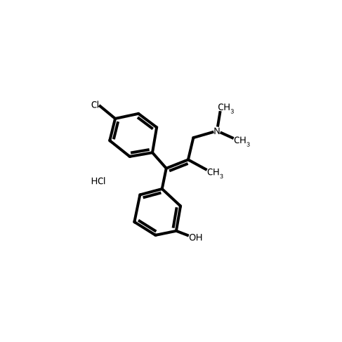 CC(CN(C)C)=C(c1ccc(Cl)cc1)c1cccc(O)c1.Cl